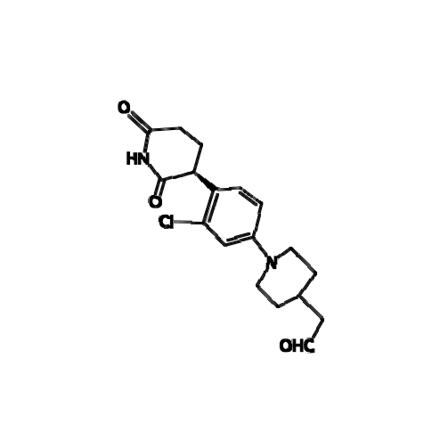 O=CCC1CCN(c2ccc([C@@H]3CCC(=O)NC3=O)c(Cl)c2)CC1